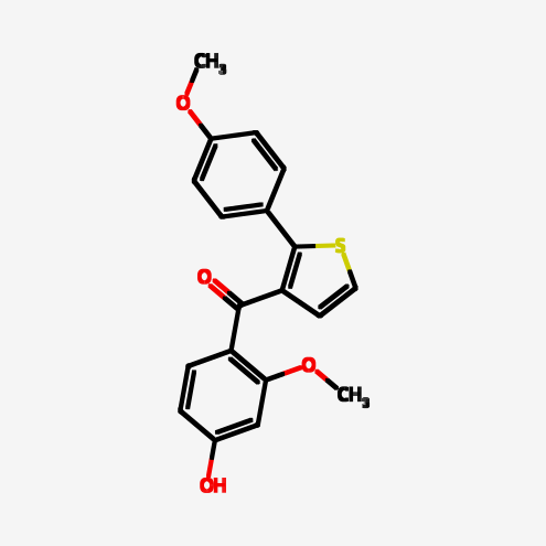 COc1ccc(-c2sccc2C(=O)c2ccc(O)cc2OC)cc1